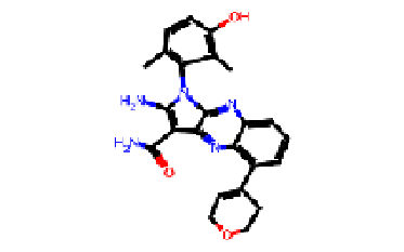 Cc1ccc(O)c(C)c1-n1c(N)c(C(N)=O)c2nc3c(C4=CCOCC4)cccc3nc21